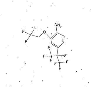 Nc1ccc(C(F)(C(F)(F)F)C(F)(F)F)cc1OCC(F)(F)F